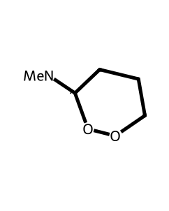 CN[C]1CCCOO1